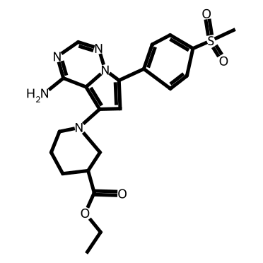 CCOC(=O)C1CCCN(c2cc(-c3ccc(S(C)(=O)=O)cc3)n3ncnc(N)c23)C1